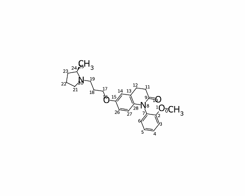 COc1ccccc1N1C(=O)CCc2cc(OCCCN3CCC[C@H]3C)ccc21